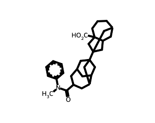 CN(C(=O)C1CC2CC3CC(C45CC6CCCC(C(=O)O)(C4)C(C6)C5)(C2)CC3C1)c1ccccc1